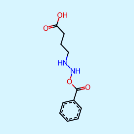 O=C(O)CCCNNOC(=O)c1ccccc1